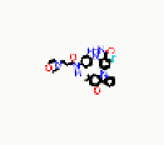 CC1(C)CC(=O)c2c3c(n(-c4cc(F)c(C(N)=O)c(N[C@H]5CC[C@H](NC(=O)CCN6CCOCC6)CC5)c4)c2C1)CCC3